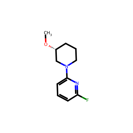 CO[C@@H]1CCCN(c2cccc(F)n2)C1